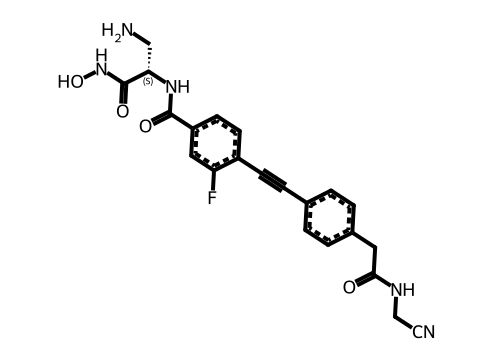 N#CCNC(=O)Cc1ccc(C#Cc2ccc(C(=O)N[C@@H](CN)C(=O)NO)cc2F)cc1